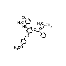 COc1ccc(COc2cc(OCC(OCC(C)C)c3ccccc3)nc(Nc3cccc(Cl)c3C)n2)cc1